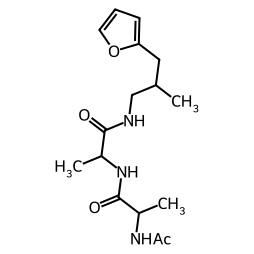 CC(=O)NC(C)C(=O)NC(C)C(=O)NCC(C)Cc1ccco1